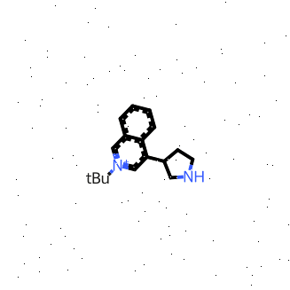 CC(C)(C)[n+]1cc(C2CCNC2)c2ccccc2c1